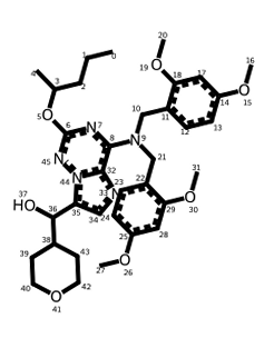 CCCC(C)Oc1nc(N(Cc2ccc(OC)cc2OC)Cc2ccc(OC)cc2OC)c2ncc(C(O)C3CCOCC3)n2n1